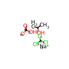 CC(C)O.ClC(Cl)Cl.O=C([O-])O.[Na+]